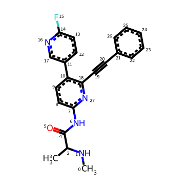 CNC(C)C(=O)Nc1ccc(-c2ccc(F)nc2)c(C#Cc2ccccc2)n1